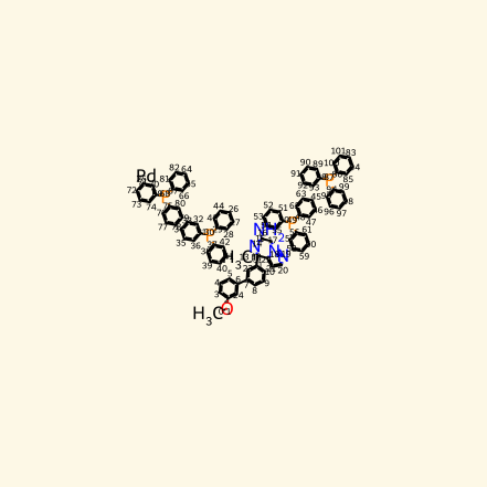 COc1cccc(-c2cccc([C@@]3(C)N=C(N)Cn4nccc43)c2)c1.[Pd].c1ccc(P(c2ccccc2)c2ccccc2)cc1.c1ccc(P(c2ccccc2)c2ccccc2)cc1.c1ccc(P(c2ccccc2)c2ccccc2)cc1.c1ccc(P(c2ccccc2)c2ccccc2)cc1